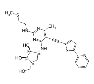 CSCCNc1nc(C)c(C#Cc2ccc(-c3ccccn3)s2)c(N[C@@H]2C[C@H](CO)[C@@H](O)[C@H]2O)n1